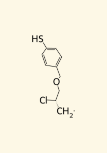 [CH2][C@H](Cl)COCc1ccc(S)cc1